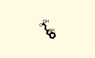 O=C(O)CCc1cc2ccccc2[nH]1